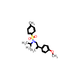 C=C(CN(C(C)C)S(=O)(=O)c1ccc(C)cc1)c1ccc(OC)cc1